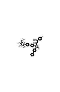 OCC1OC(c2ccc(-c3ccc(C4C(CCC(O)c5ccc(F)cc5)SC(=S)N4c4ccc(-c5ccccc5)cc4)c(O)c3)cc2)C(O)C(O)C1O